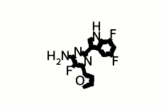 Nc1nc(-c2c[nH]c3c(F)cc(F)cc23)nc(-c2ccco2)c1F